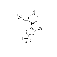 C=CC1CNCCN1c1ccc(C(F)(F)F)cc1Br